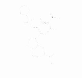 NC(=O)c1c(F)cc(N2CNc3ncc(C(=O)O)cc32)c(NS(=O)(=O)C2CCCC2)c1F